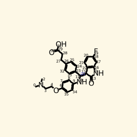 CN(C)CCOc1ccc(N/C(=C2\C(=O)Nc3cc(F)ccc32)c2ccc(CCC(=O)O)cc2)cc1